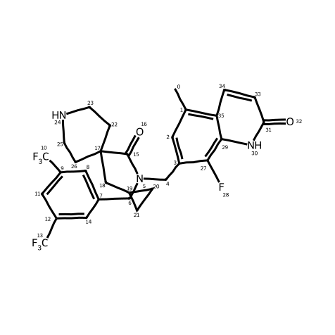 Cc1cc(CN(Cc2cc(C(F)(F)F)cc(C(F)(F)F)c2)C(=O)C2(CC3CC3)CCNCC2)c(F)c2[nH]c(=O)ccc12